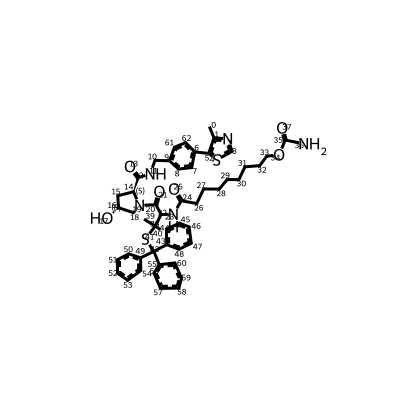 Cc1ncsc1-c1ccc(CNC(=O)[C@@H]2C[C@@H](O)CN2C(=O)C(NC(=O)CCCCCCCCOC(N)=O)C(C)(C)SC(c2ccccc2)(c2ccccc2)c2ccccc2)cc1